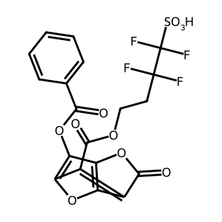 O=C(Oc1c2c3oc1c(C(=O)OCCC(F)(F)C(F)(F)S(=O)(=O)O)c3C(=O)O2)c1ccccc1